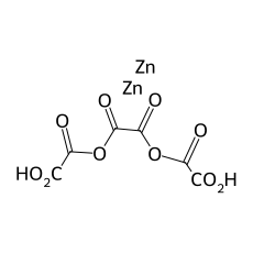 O=C(O)C(=O)OC(=O)C(=O)OC(=O)C(=O)O.[Zn].[Zn]